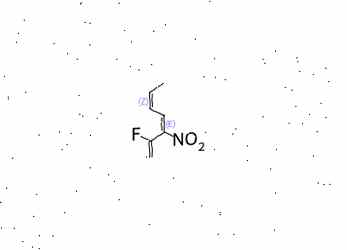 C=C(F)/C(=C\C=C/C)[N+](=O)[O-]